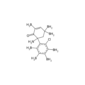 BC1=CC(B)(B)CC(N)(c2c(B)c(B)c(B)c(B)c2Cl)C1=O